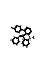 Cc1ccc(-c2ccccc2C(=Cc2ccccc2)c2ccccc2N)cc1